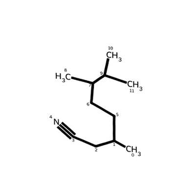 CC(CC#N)CCC(C)C(C)C